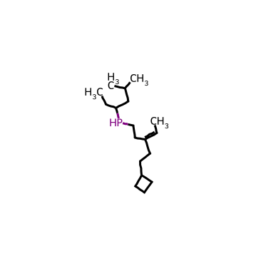 C/C=C(\CCPC(CC)CC(C)C)CCC1CCC1